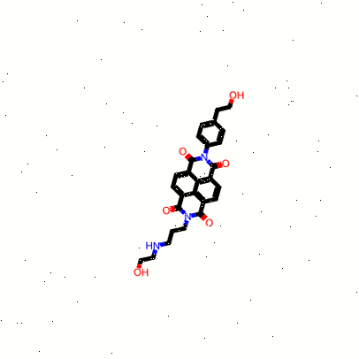 O=C1c2ccc3c4c(ccc(c24)C(=O)N1CCCNCCO)C(=O)N(c1ccc(CCO)cc1)C3=O